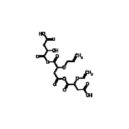 C=CCOC(CC(=O)OC(=O)C(CC(=O)O)OC=C)C(=O)OC(=O)C(O)CC(=O)O